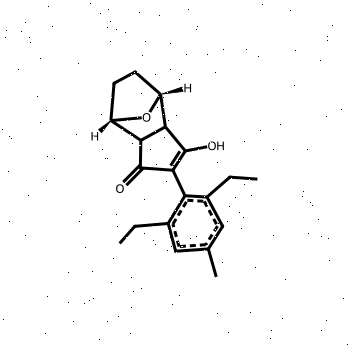 CCc1cc(C)cc(CC)c1C1=C(O)C2C(C1=O)[C@@H]1CC[C@H]2O1